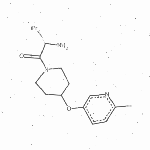 Cc1ccc(OC2CCN(C(=O)[C@@H](N)C(C)C)CC2)cn1